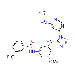 COc1cc(NC(=O)c2cccc(C(F)(F)F)c2)cc(Nc2nccn2-c2cc(NC3CC3)ncn2)c1